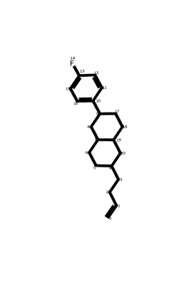 C=CCCC1CCC2CC(c3ccc(F)cc3)CCC2C1